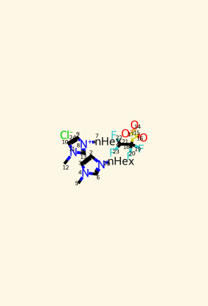 CCCCCC[n+]1ccn(C)c1.CCCCCC[n+]1ccn(C)c1.O=S(=O)([O-])C(F)(F)C(F)F.[Cl-]